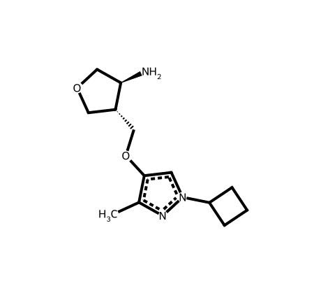 Cc1nn(C2CCC2)cc1OC[C@@H]1COC[C@H]1N